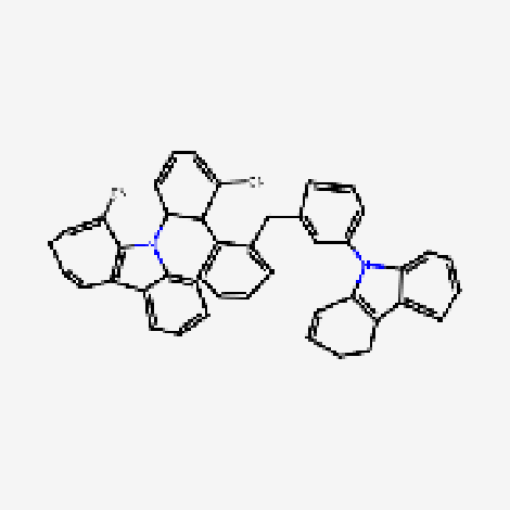 N#CC1=CCC=Cc2c1n(C1C=CC=C(C#N)C1c1ccccc1Cc1cccc(-n3c4c(c5ccccc53)CCC=C4)c1)c1ccccc21